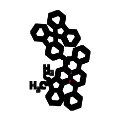 CC1(C)c2ccccc2-c2ccc(N(c3ccc4c(c3)C3(c5ccccc5-c5ccccc53)c3ccccc3-4)c3ccccc3-c3ccc(-c4ccccc4)cc3)cc21